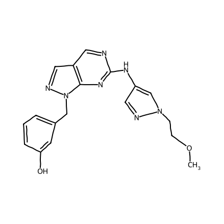 COCCn1cc(Nc2ncc3cnn(Cc4cccc(O)c4)c3n2)cn1